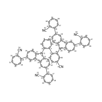 N#Cc1ccc(-c2cnccc2-n2c3ccc(-c4ccccc4C#N)cc3c3cc(-c4ccccc4C#N)ccc32)c(-n2c3ccc(-c4ccccc4C#N)cc3c3cc(-c4ccccc4C#N)ccc32)c1